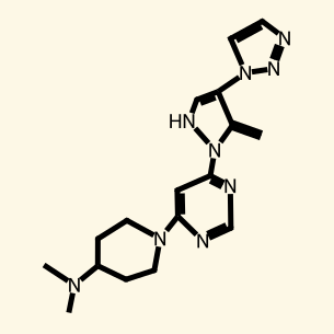 C=C1C(n2ccnn2)=CNN1c1cc(N2CCC(N(C)C)CC2)ncn1